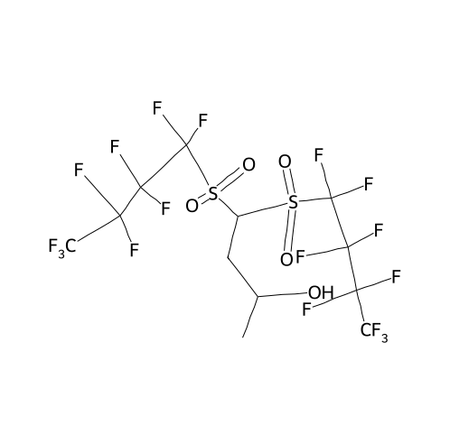 CC(O)CC(S(=O)(=O)C(F)(F)C(F)(F)C(F)(F)C(F)(F)F)S(=O)(=O)C(F)(F)C(F)(F)C(F)(F)C(F)(F)F